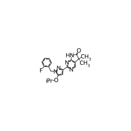 CC(C)Oc1cc(-c2ncc3c(n2)NC(=O)C3(C)C)nn1Cc1ccccc1F